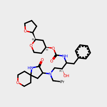 CC(C)CN(C[C@@H](O)C(Cc1ccccc1)NC(=O)O[C@H]1CCO[C@@H](C2CCCO2)C1)C1CC2(CCOCC2)NC1=O